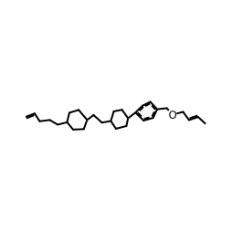 C=CCCCC1CCC(CCC2CCC(c3ccc(COCC=CC)cc3)CC2)CC1